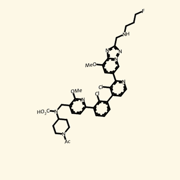 COc1nc(-c2cccc(-c3ccnc(-c4cc(OC)c5nc(CNCCCF)nn5c4)c3Cl)c2Cl)ccc1CN(C(=O)O)C1CCN(C(C)=O)CC1